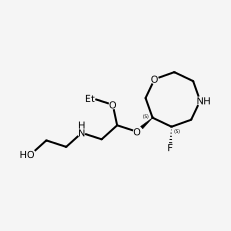 CCOC(CNCCO)O[C@H]1COCCNC[C@@H]1F